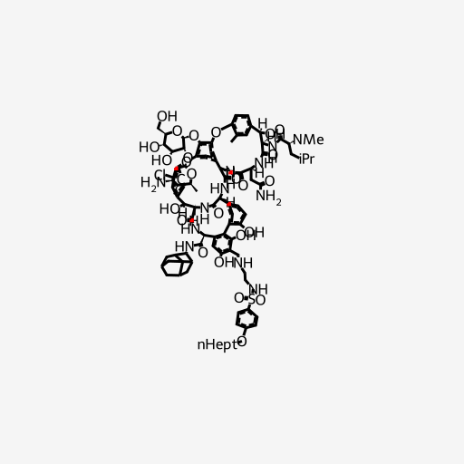 CCCCCCCOc1ccc(S(=O)(=O)NCCNCc2c(O)cc3c(c2O)-c2cc(ccc2O)[C@H]2NC(=O)[C@@H]4NC(=O)[C@H](CC(N)=O)NC(=O)[C@H](NC(=O)[C@@H](CC(C)C)NC)[C@H](O)c5ccc(c(C)c5)Oc5cc4cc(c5O[C@@H]4O[C@H](CO)[C@@H](O)[C@H](O)[C@H]4O[C@H]4C[C@H](N)[C@H](C)[C@H](C)O4)Oc4ccc(cc4Cl)[C@@H](O)[C@H](NC2=O)C(=O)N[C@@H]3C(=O)NC2C3CC4CC(C3)CC2C4)cc1